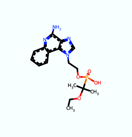 CCOC(C)(C)P(=O)(O)OCCn1cnc2c(N)nc3ccccc3c21